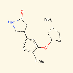 COc1ccc(C2CNC(=O)C2)cc1OC1CCCC1.[PbH2]